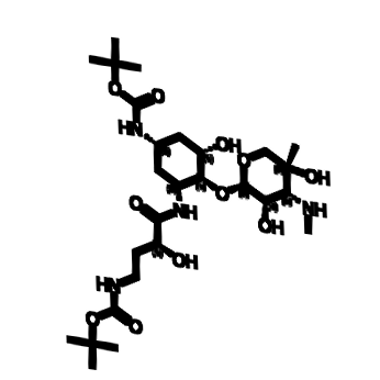 CN[C@@H]1[C@@H](O)[C@@H](O[C@@H]2[C@@H](O)C[C@@H](NC(=O)OC(C)(C)C)C[C@H]2NC(=O)[C@@H](O)CCNC(=O)OC(C)(C)C)OC[C@]1(C)O